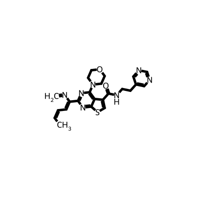 C=N/C(=C\C=C/C)c1nc(N2CCOCC2)c2c(C(=O)NCCc3cncnc3)csc2n1